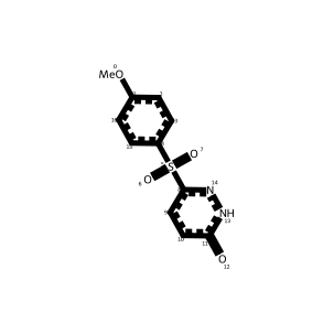 COc1ccc(S(=O)(=O)c2ccc(=O)[nH]n2)cc1